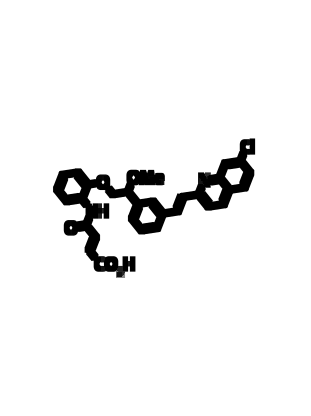 COC(COc1ccccc1NC(=O)/C=C/C(=O)O)c1cccc(/C=C/c2ccc3ccc(Cl)cc3n2)c1